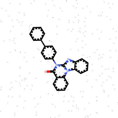 O=c1c2ccccc2n2c3ccccc3nc2n1-c1ccc(-c2ccccc2)cc1